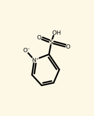 O=S(=O)(O)c1cccc[n+]1[O-]